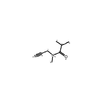 CC(C)C(=O)N(C)CC#N